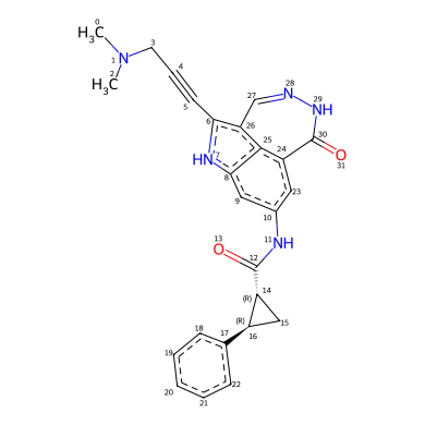 CN(C)CC#Cc1[nH]c2cc(NC(=O)[C@@H]3C[C@H]3c3ccccc3)cc3c2c1C=NNC3=O